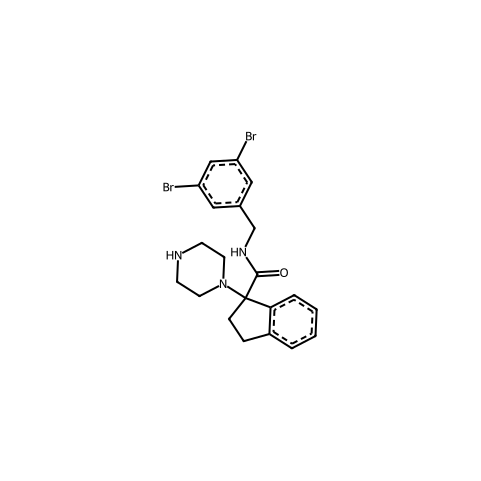 O=C(NCc1cc(Br)cc(Br)c1)C1(N2CCNCC2)CCc2ccccc21